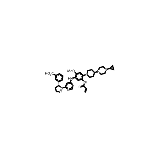 C=CC(=O)Nc1cc(Nc2cc(N3OCC[C@@H]3c3cccc(C(=O)O)c3)ncn2)c(OC)cc1N1CCC(N2CCN(C3CC3)CC2)CC1